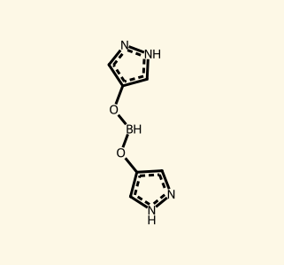 B(Oc1cn[nH]c1)Oc1cn[nH]c1